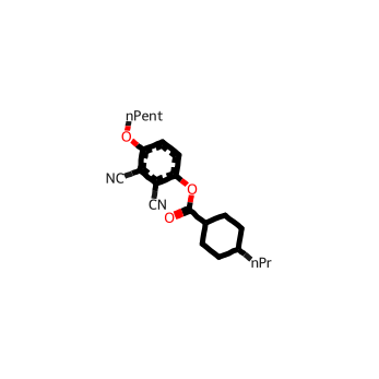 CCCCCOc1ccc(OC(=O)C2CCC(CCC)CC2)c(C#N)c1C#N